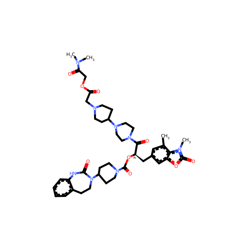 Cc1cc(C[C@@H](OC(=O)N2CCC(N3CCc4ccccc4NC3=O)CC2)C(=O)N2CCN(C3CCN(CC(=O)OCC(=O)N(C)C)CC3)CC2)cc2oc(=O)n(C)c12